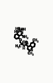 Cc1ccc2nc(C)cc(C(=O)NC(C)(C)COc3cccc4c3C(N)=NS(O)(O)N4)c2c1